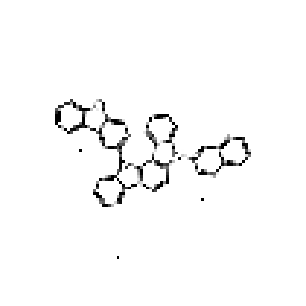 c1ccc2cc(-n3c4ccccc4c4c3ccc3c5ccccc5n(-c5ccc6oc7ccccc7c6c5)c34)ccc2c1